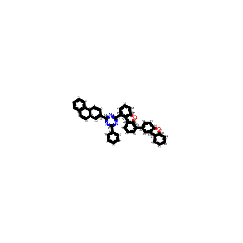 C1=CC2c3ccccc3C=CC2C=C1c1nc(-c2ccccc2)nc(-c2cccc3oc4c(-c5ccc6oc7ccccc7c6c5)cccc4c23)n1